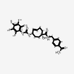 CC(=O)c1ccc(CNC(=O)[C@]2(O)CC/C=C/[C@H](OC(=O)Oc3c(F)c(F)c(F)c(F)c3F)CC2)cc1